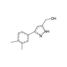 Cc1ccc(-c2cc(CO)[nH]n2)cc1C